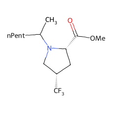 CCCCCC(C)N1C[C@@H](C(F)(F)F)C[C@H]1C(=O)OC